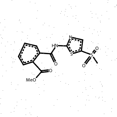 COC(=O)c1ccccc1C(=O)Nc1ncc(S(C)(=O)=O)s1